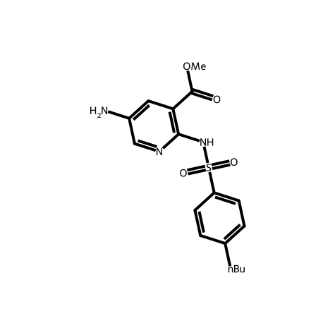 CCCCc1ccc(S(=O)(=O)Nc2ncc(N)cc2C(=O)OC)cc1